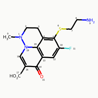 CN1CCc2c(SCCN)c(F)cc3c(=O)c(C(=O)O)cn1c23